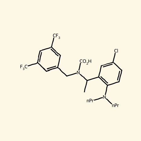 CCCN(CCC)c1ccc(Cl)cc1C(C)N(Cc1cc(C(F)(F)F)cc(C(F)(F)F)c1)C(=O)O